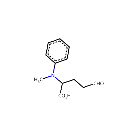 CN(c1ccccc1)C(CCC=O)C(=O)O